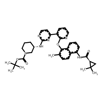 Cc1ccc2c(NC(=O)[C@H]3CC3(C)C)cccc2c1Oc1ncccc1-c1ccnc(N[C@H]2CCCN(C(=O)OC(C)(C)C)C2)n1